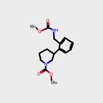 CC(C)(C)OC(=O)NCc1ccccc1C1CCCN(C(=O)OC(C)(C)C)C1